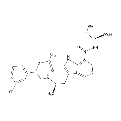 CCC(C)C[C@H](NC(=O)c1cccc2c(C[C@@H](C)NC[C@@H](OC(=O)C(F)(F)F)c3cccc(Cl)c3)c[nH]c12)C(=O)O